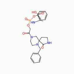 CC(NP(=O)(OCC(=O)N1CCN(Cc2ccccc2)C2(CCNC2=O)C1)Oc1ccccc1)C(=O)O